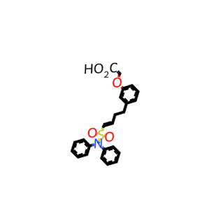 O=C(O)COc1cccc(CC/C=C/S(=O)(=O)N(c2ccccc2)c2ccccc2)c1